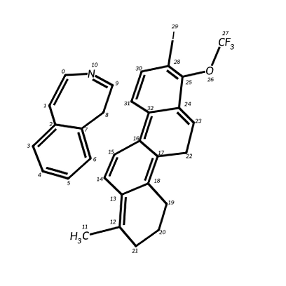 C1=Cc2ccccc2CC=N1.CC1=c2ccc3c(c2CCC1)CC=c1c(OC(F)(F)F)c(I)ccc1=3